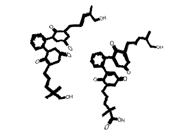 CC(CO)CCCC1=CC(=O)C=C(c2ccccc2C2=CC(=O)C=C(CCCC(C)(C)C(=O)O)C2=O)C1=O.CC(CO)CCCC1CC(=O)CC(c2ccccc2C2CC(=O)CC(CCCC(C)(C)CO)C2=O)C1=O